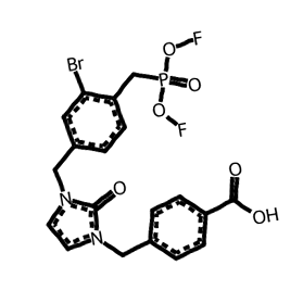 O=C(O)c1ccc(Cn2ccn(Cc3ccc(CP(=O)(OF)OF)c(Br)c3)c2=O)cc1